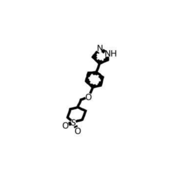 O=S1(=O)CCC(COc2ccc(-c3cn[nH]c3)cc2)CC1